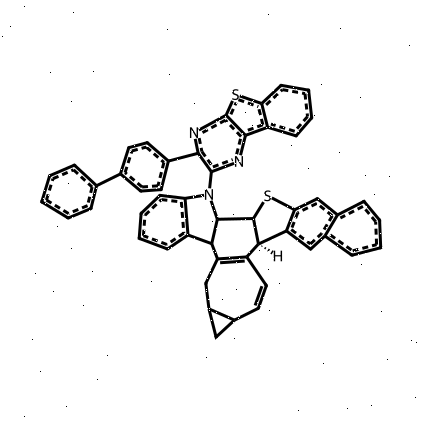 C1=CC2CC2CC2=C1[C@@H]1c3cc4ccccc4cc3SC1C1C2c2ccccc2N1c1nc2c(nc1-c1ccc(-c3ccccc3)cc1)sc1ccccc12